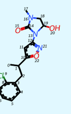 CC(Cc1ccccc1Cl)c1cc(N2C(=O)N(C)CC2O)no1